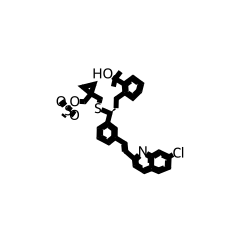 CC(C)(O)c1ccccc1CC[C@@H](SCC1(COS(C)(=O)=O)CC1)c1cccc(C=Cc2ccc3ccc(Cl)cc3n2)c1